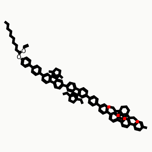 C=COC(CCCCCCCCC)Oc1ccc(-c2ccc(-c3ccc4c(c3)C3(c5cc(-c6ccc7c(c6)C6(c8cc(-c9ccc(-c%10ccc(-c%11ccc%12c(c%11)C%11(c%13cc(-c%14ccc(C)cc%14)ccc%13-%12)C%12(CCC)CCCC%11(CCC)CCC%12)cc%10)cc9)ccc8-7)C7(CC)CCC6(CC)CC7)ccc5-4)C4(C)CCC3(C)CC4)cc2)cc1